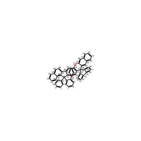 c1ccc(C2(c3ccccc3-c3ccc4c(c3)C3(c5cc6ccccc6cc5O4)c4ccccc4-c4ccccc43)c3ccccc3-c3ccc4ccccc4c32)cc1